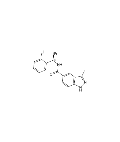 CC(C)[C@@H](NC(=O)c1ccc2[nH]nc(I)c2c1)c1ccccc1Cl